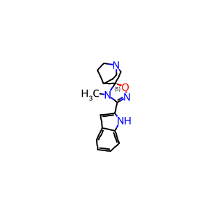 CN1C(c2cc3ccccc3[nH]2)=NO[C@@]12CN1CCC2CC1